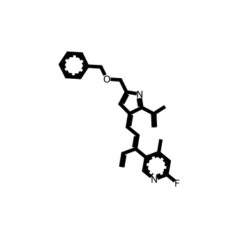 C=C/C(=C\C=C1\C=C(COCc2ccccc2)N=C1C(=C)C)c1cnc(F)cc1C